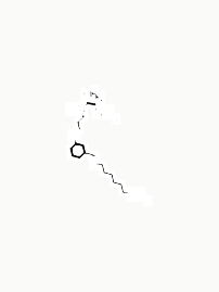 CCCCCCCN=Cc1cccc(OCCCNc2nsnc2N)c1